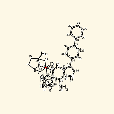 CS(=O)(=O)c1c(C2CC3CC[C@H](C2)N3C(=O)c2cn[nH]n2)nc2c(-c3cnc(-c4ccccc4)cn3)cnn2c1N